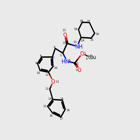 CC(C)(C)OC(=O)NC(Cc1cccc(OCc2ccccc2)c1)C(=O)NC1CCCCC1